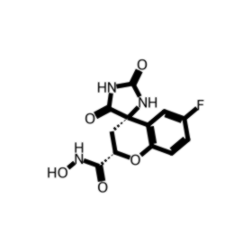 O=C1NC(=O)[C@@]2(C[C@@H](C(=O)NO)Oc3ccc(F)cc32)N1